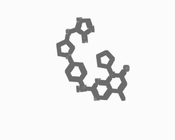 Cc1cc(=O)n(C2CCCC2)c2nc(Nc3ccc(N4CCC(Sc5ncn[nH]5)C4)cc3)ncc12